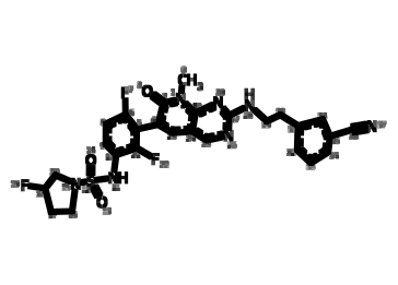 Cn1c(=O)c(-c2c(F)ccc(NS(=O)(=O)N3CCC(F)C3)c2F)cc2cnc(NCCc3cccc(C#N)c3)nc21